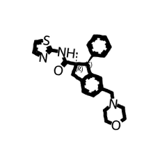 C[C@@]1(C(=O)Nc2nccs2)Cc2ccc(CN3CCOCC3)cc2[C@@H]1c1ccccc1